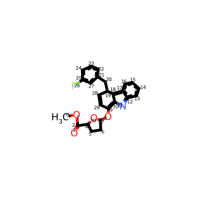 COC(=O)C1CCC(OC2=C3N=c4ccccc4=C3C(Cc3cccc(F)c3)C=C2)O1